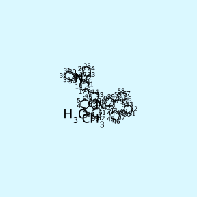 CC1(C)c2ccccc2-c2c(N(c3ccc(-c4ccc5c(c4)c4ccccc4n5-c4ccccc4)cc3)c3ccc4c(c3)-c3ccccc3-c3ccccc3-c3ccccc3-4)cccc21